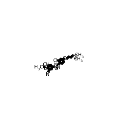 CC(C)Oc1ccc(-c2nc(-c3ccc(OCCCCN(C)C)cc3Cl)no2)cc1C#N